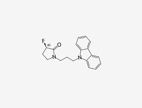 O=C1[C@H](F)CCN1CCCn1c2ccccc2c2ccccc21